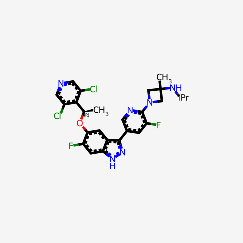 CC(C)NC1(C)CN(c2ncc(-c3n[nH]c4cc(F)c(O[C@H](C)c5c(Cl)cncc5Cl)cc34)cc2F)C1